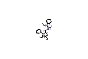 CCN1/C(=C\C=C2/SC(=S)[N+](CC)=C2c2ccccc2)Oc2ccccc21.[I-]